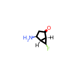 N[C@H]1CC(=O)[C@H]2[C@@H](F)[C@H]21